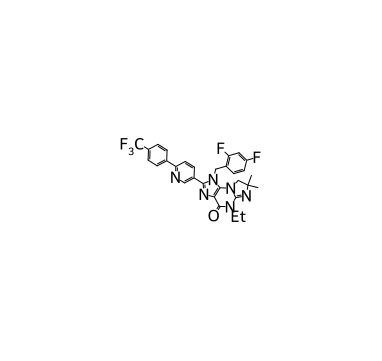 CCN1C(=O)c2nc(-c3ccc(-c4ccc(C(F)(F)F)cc4)nc3)n(Cc3ccc(F)cc3F)c2N2CC(C)(C)N=C12